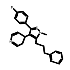 Cn1nc(-c2ccc(F)cc2)c(C2C=CN=CC2)c1CCCc1ccccc1